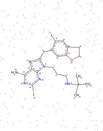 CC(C)(C)NCCCn1c(Cc2cc3c(cc2I)CCO3)nc2c(N)nc(F)nc21